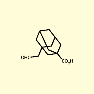 O=CCC12CC3CC(C1)CC(C(=O)O)(C3)C2